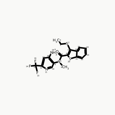 CCSc1c(C(=O)N(C)c2cnc(C(F)(F)F)cc2N)sc2ccccc12